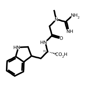 CN(CC(=O)N[C@@H](CC1CNc2ccccc21)C(=O)O)C(=N)N